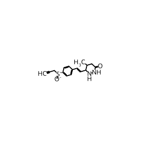 C#CC[S+]([O-])c1ccc(/C=C/C2NNC(=O)CC2C)cc1